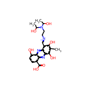 Cc1c(O)c(/C=N/CCN(C(C)O)C(C)O)c2nc3c(O)ccc(C(=O)O)c3nc2c1O